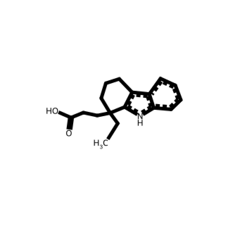 CCC1(CCC(=O)O)CCCc2c1[nH]c1ccccc21